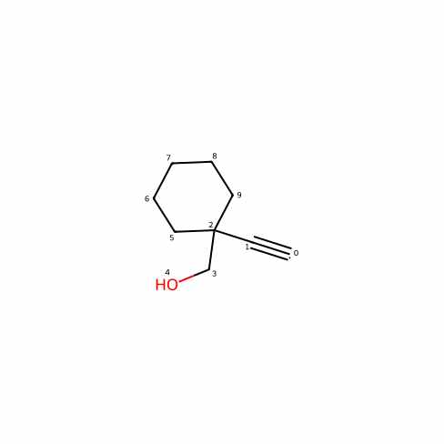 [C]#CC1(CO)CCCCC1